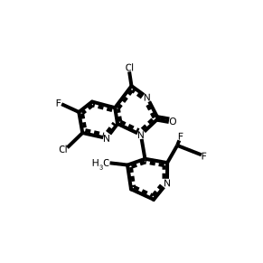 Cc1ccnc(C(F)F)c1-n1c(=O)nc(Cl)c2cc(F)c(Cl)nc21